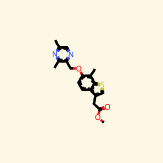 COC(=O)Cc1csc2c(C)c(OCc3ncc(C)nc3C)ccc12